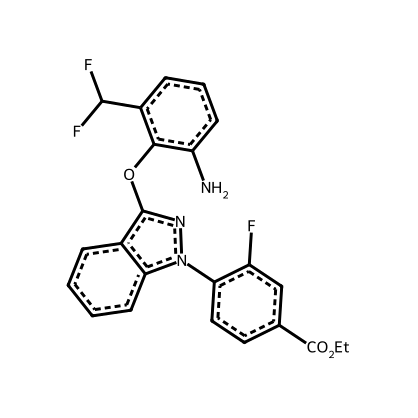 CCOC(=O)c1ccc(-n2nc(Oc3c(N)cccc3C(F)F)c3ccccc32)c(F)c1